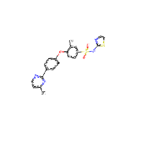 N#Cc1cc(S(=O)(=O)Nc2nccs2)ccc1Oc1ccc(-c2nccc(C(F)(F)F)n2)cc1